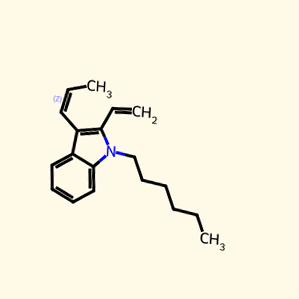 C=Cc1c(/C=C\C)c2ccccc2n1CCCCCC